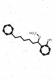 CCCc1ccccc1C(CCCCCc1ccccc1)OC(=O)O